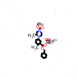 CC(=O)[O-].CC(=O)[O-].Cc1ccc(N2CCN(C(=O)OC(C)(C)C)CC2C)cc1C(=O)OCc1ccccc1.[Pd+2]